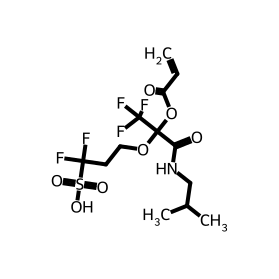 C=CC(=O)OC(OCCC(F)(F)S(=O)(=O)O)(C(=O)NCC(C)C)C(F)(F)F